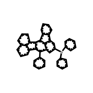 c1ccc(-c2c3cc(N(c4ccccc4)c4ccccc4)cc4c5ccccc5c(c34)c3c4cccc5cccc(c23)c54)cc1